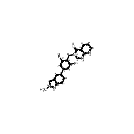 Cn1cc2cc(-c3cc(F)c(Cn4cnc5ncccc5c4=O)c(F)c3)ccc2n1